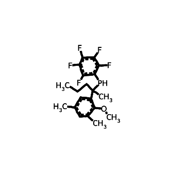 CCCC(C)(Pc1c(F)c(F)c(F)c(F)c1F)c1cc(C)cc(C)c1OC